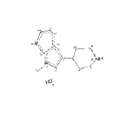 Cl.Cn1nc(C2CCNCC2)c2cccnc21